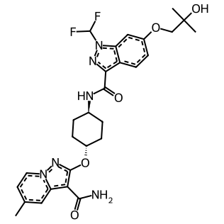 Cc1ccn2nc(O[C@H]3CC[C@H](NC(=O)c4nn(C(F)F)c5cc(OCC(C)(C)O)ccc45)CC3)c(C(N)=O)c2c1